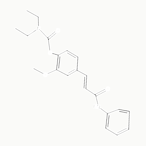 CCN(CC)C(=O)Oc1ccc(C=CC(=O)Nc2ccccc2)cc1OC